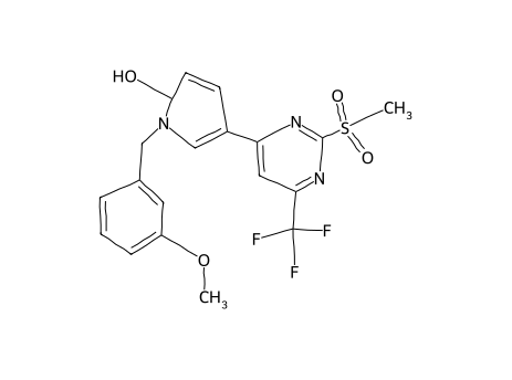 COc1cccc(CN2C=C(c3cc(C(F)(F)F)nc(S(C)(=O)=O)n3)C=CC2O)c1